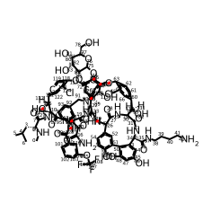 CN[C@H](CC(C)C)C(=O)N[C@H]1C(=O)N[C@@H](CC(N)=O)C(=O)NC2C(=O)N[C@H]3C(=O)N[C@H](C(=O)N[C@@H](C(=O)NCCCCN)c4cc(O)cc(O)c4-c4cc3ccc4O)[C@H](O)c3ccc(c(Cl)c3)Oc3cc2cc(c3OC2O[C@H](CO)[C@@H](O)[C@@H](O)[C@H]2O[C@H]2C[C@](C)(NCc3cccc(NC(=O)c4cccc(OC(F)(F)F)c4)c3)[C@H](O)[C@H](C)O2)Oc2ccc(cc2Cl)[C@H]1O